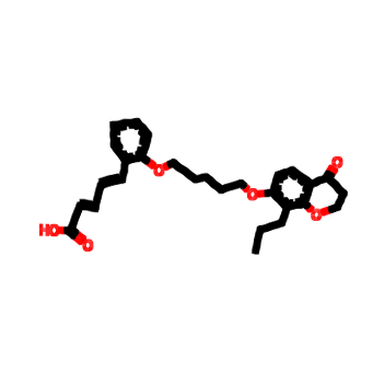 CCCc1c(OCCCCCOc2ccccc2/C=C/C=C/C(=O)O)ccc2c1OCCC2=O